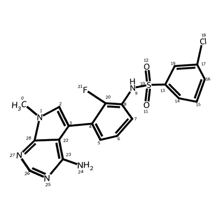 Cn1cc(-c2cccc(NS(=O)(=O)c3cccc(Cl)c3)c2F)c2c(N)ncnc21